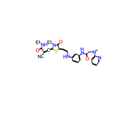 CCNC(=O)C(=C=c1sc(=C=CNc2cccc(NC(=O)CN(C)c3ccccn3)c2)c(=O)n1CC)C#N